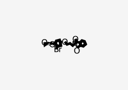 O=C1c2ccccc2C(=O)N1CCCOc1ccc(OC[C@@H]2CO2)c(Br)c1